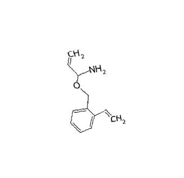 C=Cc1ccccc1COC(N)C=C